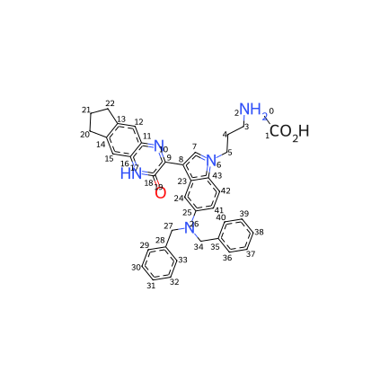 CC(=O)O.NCCCn1cc(-c2nc3cc4c(cc3[nH]c2=O)CCC4)c2cc(N(Cc3ccccc3)Cc3ccccc3)ccc21